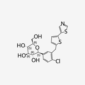 OC[C@H]1O[C@@H](c2ccc(Cl)c(Cc3ccc(-c4cncs4)s3)c2)[C@H](O)[C@@H](O)[C@@H]1O